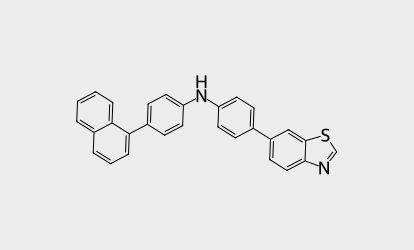 c1ccc2c(-c3ccc(Nc4ccc(-c5ccc6ncsc6c5)cc4)cc3)cccc2c1